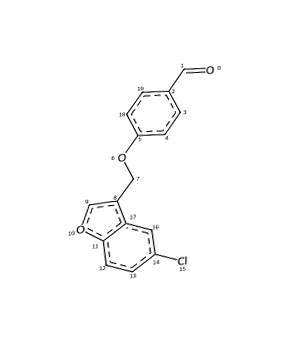 O=Cc1ccc(OCc2coc3ccc(Cl)cc23)cc1